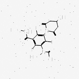 CC(=O)N(C)c1c(I)c(C(=O)N(C)C)c(I)c(N2C(=O)CC(C)CC2=O)c1I